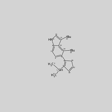 C[SiH](C)C1=C(c2ccc3[nH][c]c(C(C)(C)C)c3c2C(C)(C)C)CC=C1